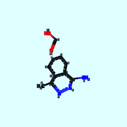 Cc1nnc(N)c2ccccc12.O=CO